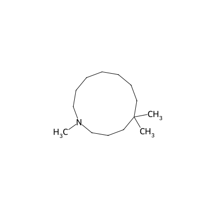 CN1CCCCCCCC(C)(C)CCC1